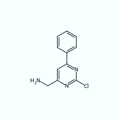 NCc1cc(-c2ccccc2)nc(Cl)n1